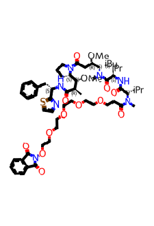 CC[C@H](C)[C@@H]([C@@H](CC(=O)N1CCC[C@H]1[C@H](OC)[C@@H](C)C(=O)N[C@@H](Cc1ccccc1)c1nccs1)OC)N(C)C(=O)[C@@H](NC(=O)[C@H](C(C)C)N(C)C(=O)CCOCCOCCOCCOCCON1C(=O)c2ccccc2C1=O)C(C)C